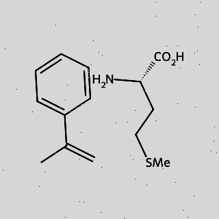 C=C(C)c1ccccc1.CSCC[C@H](N)C(=O)O